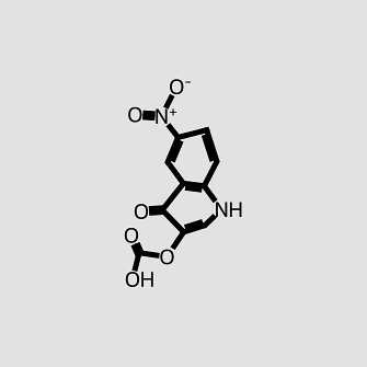 O=C(O)Oc1c[nH]c2ccc([N+](=O)[O-])cc2c1=O